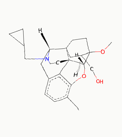 COC12CCC3(C[C@@H]1CO)[C@H]1Cc4ccc(C)c5c4[C@@]3(CCN1CC1CC1)[C@H]2O5